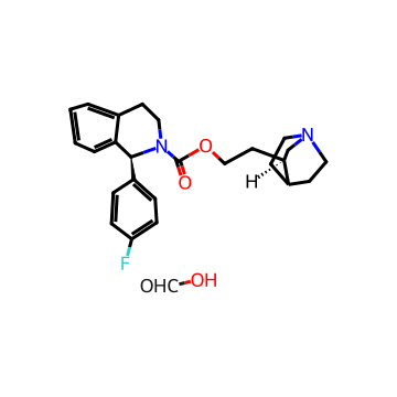 O=C(OCC[C@H]1CN2CCC1CC2)N1CCc2ccccc2[C@@H]1c1ccc(F)cc1.O=CO